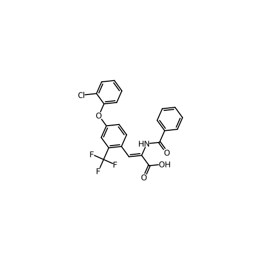 O=C(O)C(=Cc1ccc(Oc2ccccc2Cl)cc1C(F)(F)F)NC(=O)c1ccccc1